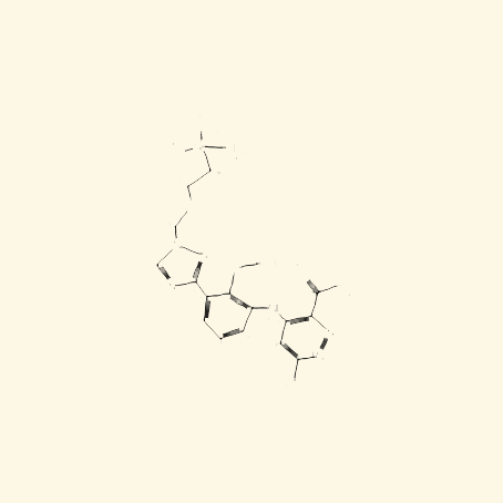 COc1c(Nc2cc(Cl)nnc2C(=O)O)cccc1-c1ncn(COCC[Si](C)(C)C)n1